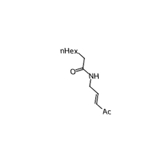 CCCCCCCC(=O)NC/C=C/C(C)=O